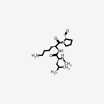 CN[C@@H](CC(C)C)C(=O)N[C@@H](CCCCN)C(=O)N1CCC[C@H]1[C]=O